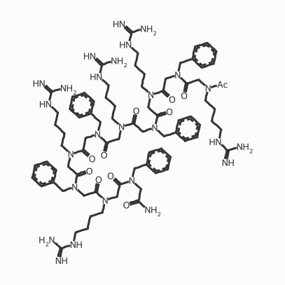 CC(=O)N(CCCCNC(=N)N)CC(=O)N(CC(=O)N(CCCCNC(=N)N)CC(=O)N(CC(=O)N(CCCCNC(=N)N)CC(=O)N(CC(=O)N(CCCCNC(=N)N)CC(=O)N(CC(=O)N(CCCCNC(=N)N)CC(=O)N(CC(N)=O)Cc1ccccc1)Cc1ccccc1)Cc1ccccc1)Cc1ccccc1)Cc1ccccc1